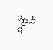 NC(=O)c1nnc(SC2CCCNC2)c2cc(-c3cccc(F)c3)sc12